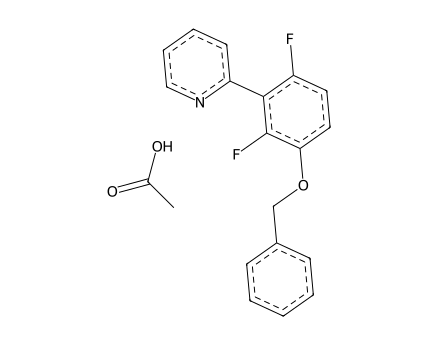 CC(=O)O.Fc1ccc(OCc2ccccc2)c(F)c1-c1ccccn1